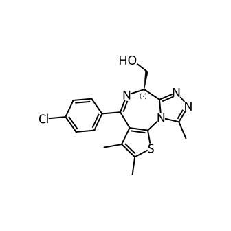 Cc1sc2c(c1C)C(c1ccc(Cl)cc1)=N[C@@H](CO)c1nnc(C)n1-2